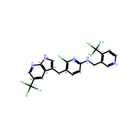 Fc1nc(NCc2cnccc2C(F)(F)F)ccc1Cc1c[nH]c2ncc(C(F)(F)F)cc12